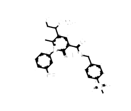 COC(CBr)c1cc(C(=O)NCc2ccc(S(C)(=O)=O)cc2)c(=O)n(-c2cccc(C(F)(F)F)c2)c1C